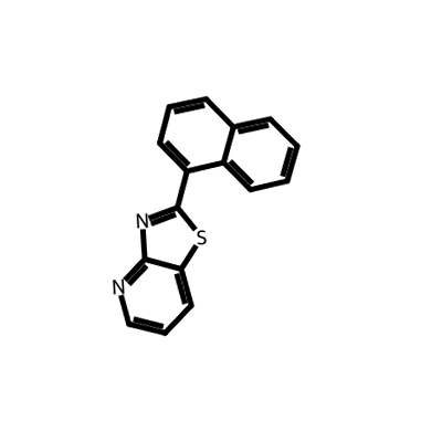 c1ccc2c(-c3nc4ncccc4s3)cccc2c1